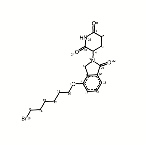 O=C1CCC(N2Cc3c(OCCCCCCBr)cccc3C2=O)C(=O)N1